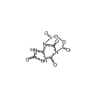 O=c1[nH]c2c(=O)n3c(=O)n(c2[nH]1)S(=O)OOS3=O